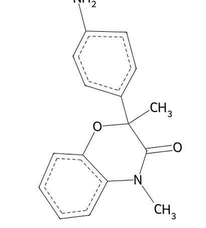 CN1C(=O)C(C)(c2ccc(N)cc2)Oc2ccccc21